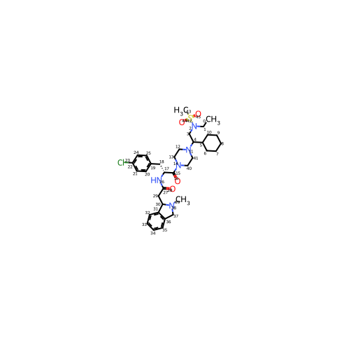 CCN(CC(C1CCCCC1)N1CCN(C(=O)[C@@H](Cc2ccc(Cl)cc2)NC(=O)CC2c3ccccc3CN2C)CC1)S(C)(=O)=O